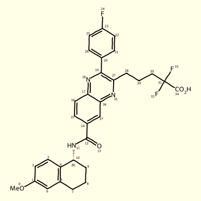 COc1ccc2c(c1)CCC[C@H]2NC(=O)c1ccc2nc(-c3ccc(F)cc3)c(CCCC(F)(F)C(=O)O)nc2c1